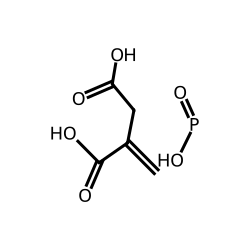 C=C(CC(=O)O)C(=O)O.O=PO